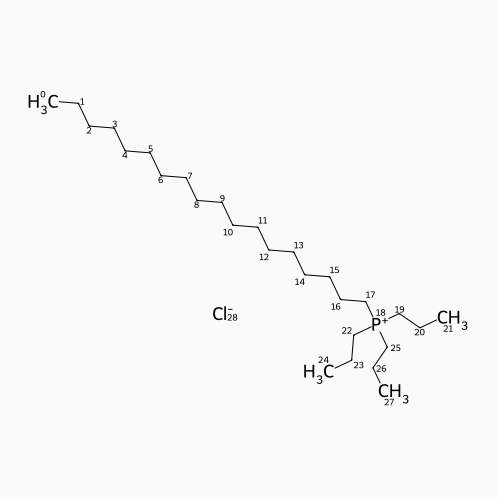 CCCCCCCCCCCCCCCCCC[P+](CCC)(CCC)CCC.[Cl-]